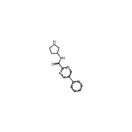 O=C(NC1CCNC1)c1ncc(-c2ccccc2)cn1